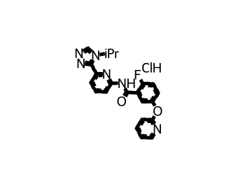 CC(C)n1cnnc1-c1cccc(NC(=O)c2cc(Oc3ccccn3)ccc2F)n1.Cl